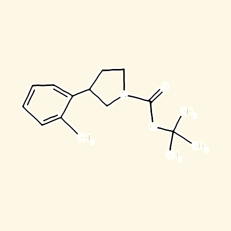 Cc1ccccc1C1CCN(C(=O)OC(C)(C)C)C1